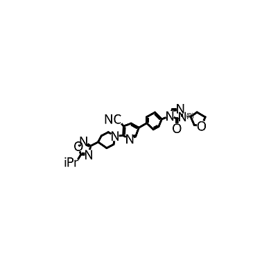 CC(C)c1nc(C2CCN(c3ncc(-c4ccc(-n5cnn([C@@H]6CCOC6)c5=O)cc4)cc3C#N)CC2)no1